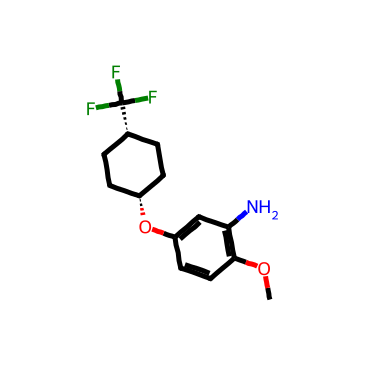 COc1ccc(O[C@H]2CC[C@@H](C(F)(F)F)CC2)cc1N